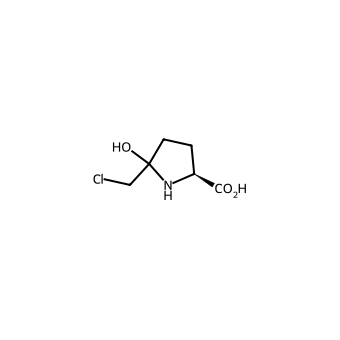 O=C(O)[C@@H]1CCC(O)(CCl)N1